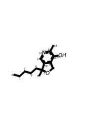 CCCCCC1(C)OCc2c1cnc(C)c2O